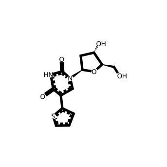 O=c1[nH]c(=O)n([C@H]2C[C@H](O)[C@@H](CO)O2)cc1-c1cccs1